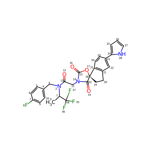 CC(N(Cc1ccc(F)cc1)C(=O)CN1C(=O)O[C@@]2(CCc3cc(-c4ccc[nH]4)ccc32)C1=O)C(F)(F)F